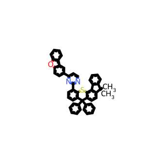 CC1(C)c2ccccc2-c2c1ccc1c2Sc2c(-c3nccc(-c4ccc5oc6ccccc6c5c4)n3)cccc2C1(c1ccccc1)c1ccccc1